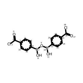 O=C(Cl)c1ccc(B(O)OB(O)c2ccc(C(=O)Cl)cc2)cc1